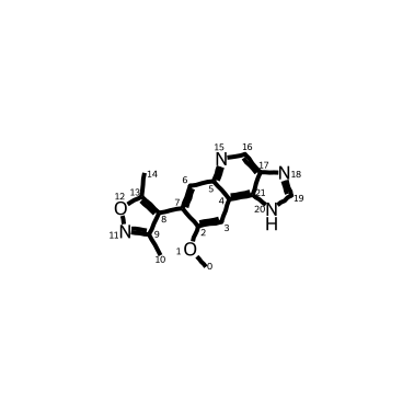 COc1cc2c(cc1-c1c(C)noc1C)ncc1nc[nH]c12